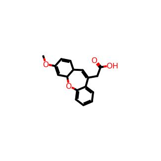 COC1=CC2Oc3ccccc3C(CC(=O)O)=CC2C=C1